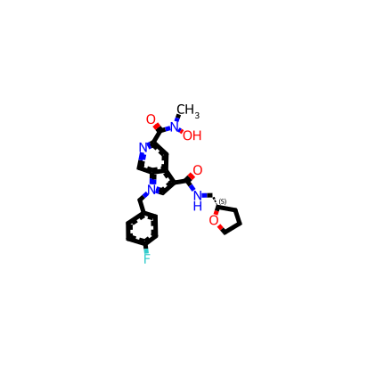 CN(O)C(=O)c1cc2c(C(=O)NC[C@@H]3CCCO3)cn(Cc3ccc(F)cc3)c2cn1